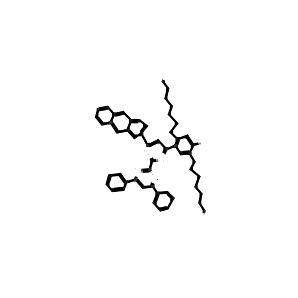 CCCCCCCCc1cc(-c2cc(-c3ccc4cc5cc(C)ccc5cc4c3)nc(-c3nc(-c4ccccc4)cc(-c4ccccc4)n3)n2)c(CCCCCCCC)cc1C